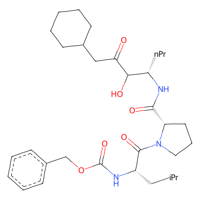 CCC[C@H](NC(=O)[C@@H]1CCCN1C(=O)[C@H](CC(C)C)NC(=O)OCc1ccccc1)C(O)C(=O)CC1CCCCC1